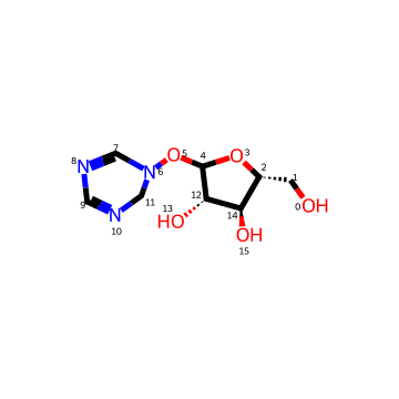 OC[C@H]1OC(ON2C=NC=NC2)[C@@H](O)[C@@H]1O